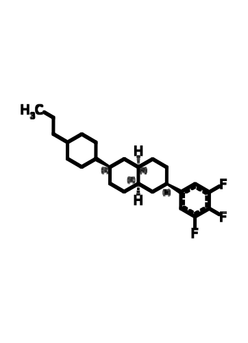 CCCC1CCC([C@@H]2CC[C@@H]3C[C@H](c4cc(F)c(F)c(F)c4)CC[C@@H]3C2)CC1